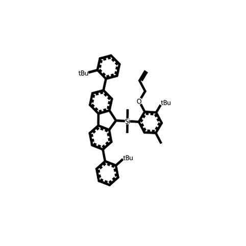 C=CCOc1c(C(C)(C)C)cc(C)cc1[Si](C)(C)C1c2cc(-c3ccccc3C(C)(C)C)ccc2-c2ccc(-c3ccccc3C(C)(C)C)cc21